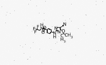 CC(C)Oc1nc(Nc2ccc(S(=O)(=O)NCC(F)(F)F)cc2)ncc1C#N